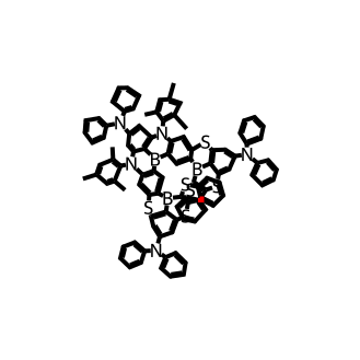 Cc1cc(C)c(N2c3cc4c(cc3B3c5cc6c(cc5N(c5c(C)cc(C)cc5C)c5cc(N(c7ccccc7)c7ccccc7)cc2c53)Sc2cc(N(c3ccccc3)c3ccccc3)cc3c2B6c2sc5ccccc5c2S3)B2c3sc5ccccc5c3Sc3cc(N(c5ccccc5)c5ccccc5)cc(c32)S4)c(C)c1